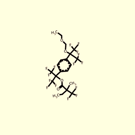 CCOCOC(c1ccc(C(OC(=O)C(C)(CC)C(F)(F)F)(C(F)(F)F)C(F)(F)F)cc1)(C(F)(F)F)C(F)(F)F